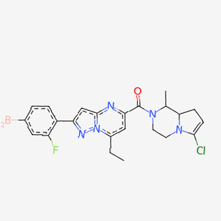 Bc1ccc(-c2cc3nc(C(=O)N4CCN5C(Cl)=CCC5C4C)cc(CC)n3n2)c(F)c1